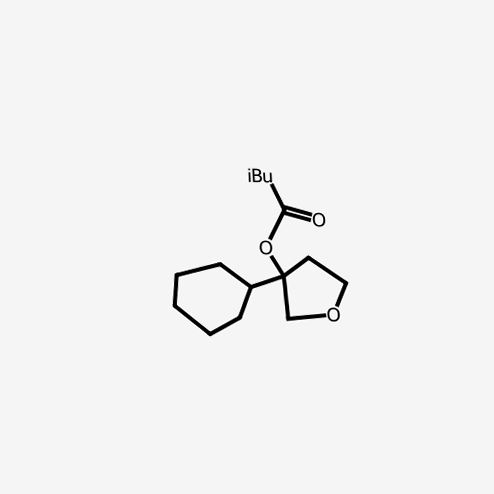 CCC(C)C(=O)OC1(C2CCCCC2)CCOC1